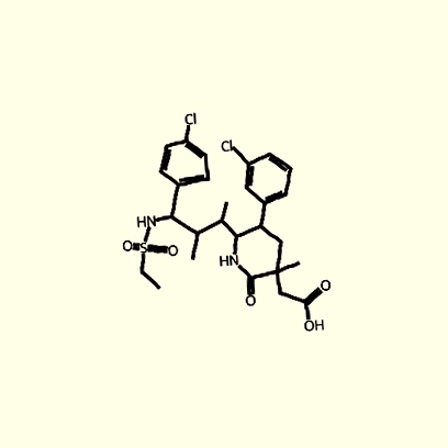 CCS(=O)(=O)NC(c1ccc(Cl)cc1)C(C)C(C)C1NC(=O)C(C)(CC(=O)O)CC1c1cccc(Cl)c1